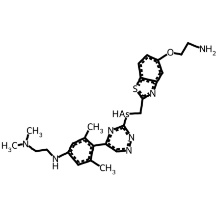 Cc1cc(NCCN(C)C)cc(C)c1-c1cnnc([AsH]Cc2nc3cc(OCCN)ccc3s2)n1